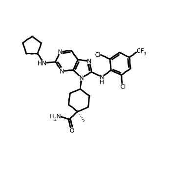 C[C@]1(C(N)=O)CC[C@@H](n2c(Nc3c(Cl)cc(C(F)(F)F)cc3Cl)nc3cnc(NC4CCCC4)nc32)CC1